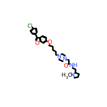 CN1CCCC1CCNC(=O)CN1CCN(CCCCCOc2ccc3c(-c4ccc(Cl)cc4)coc3c2)CC1